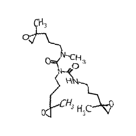 CN(CCCC1(C)CO1)C(=O)N(CCCC1(C)CO1)C(=O)NCCCC1(C)CO1